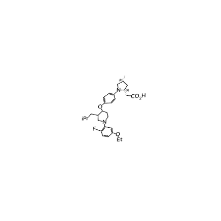 CCOc1ccc(F)c(N2CCC(Oc3ccc(N4C[C@H](C)C[C@@H]4CC(=O)O)cc3)C(CC(C)C)C2)c1